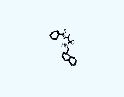 CC(SC(=S)c1ccccc1)C(=O)NCc1cccc2ccccc12